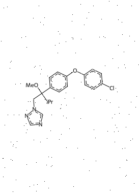 COC(Cn1cncn1)(c1ccc(Oc2ccc(Cl)cc2)cc1)C(C)C